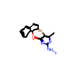 Cc1nc(N)nc(Oc2cccc3ccccc23)c1Br